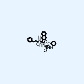 C[C@](NC(=O)CCc1ccccc1)(C(=O)N[C@H]1C(=O)N[C@@H]1OC1CCCCC1)c1ccc2ccccc2c1